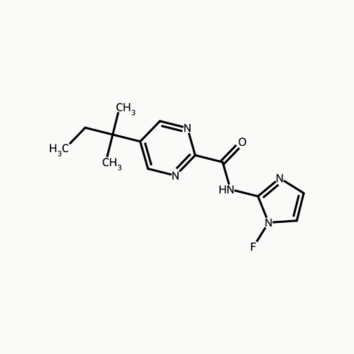 CCC(C)(C)c1cnc(C(=O)Nc2nccn2F)nc1